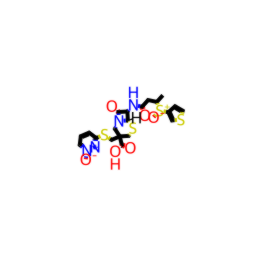 CC(CC(=O)NC1C(=O)N2CC(CSc3ccc[n+]([O-])n3)(C(=O)O)CS[C@H]12)[S+]([O-])c1ccsc1